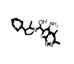 Cc1nnc2sc(C(O)N3CCC(c4ccccc4)C3C)c(N)c2c1C